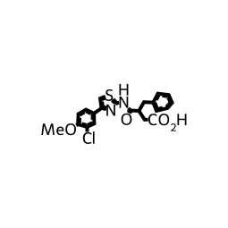 COc1ccc(-c2csc(NC(=O)C(CC(=O)O)Cc3ccccc3)n2)cc1Cl